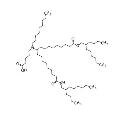 CCCCCCCCCN(CCCCC(=O)O)C(CCCCCCCCC(=O)NCC(CCCC)CCCCCC)CCCCCCCCC(=O)OCC(CCCC)CCCCCC